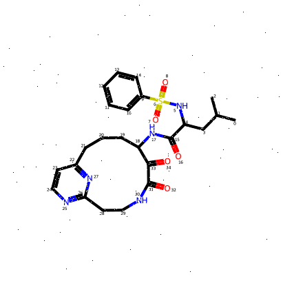 CC(C)CC(NS(=O)(=O)c1ccccc1)C(=O)NC1CCCc2ccnc(n2)CCNC(=O)C1=O